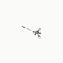 COC(=O)CCCCCCCCCCCO[C@H]1O[C@H](COC(C)=O)[C@@H](OC(C)=O)[C@H](OCc2ccccc2)[C@H]1OC(C)=O